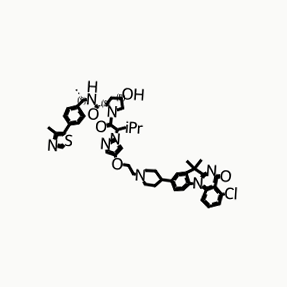 Cc1ncsc1-c1ccc([C@H](C)NC(=O)[C@@H]2C[C@@H](O)CN2C(=O)C(C(C)C)n2cc(OCCN3CCC(c4ccc5c(c4)C(C)(C)c4nc(=O)c6c(Cl)cccc6n4-5)CC3)cn2)cc1